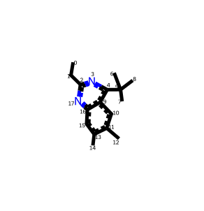 CCc1nc(C(C)(C)C)c2cc(C)c(C)cc2n1